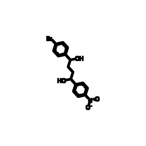 O=[N+]([O-])c1ccc(C(O)CCC(O)c2ccc(Br)cc2)cc1